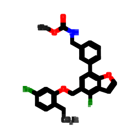 CCOC(=O)Cc1ccc(Br)cc1OCc1cc(-c2cccc(CNC(=O)OC(C)(C)C)c2)c2occc2c1F